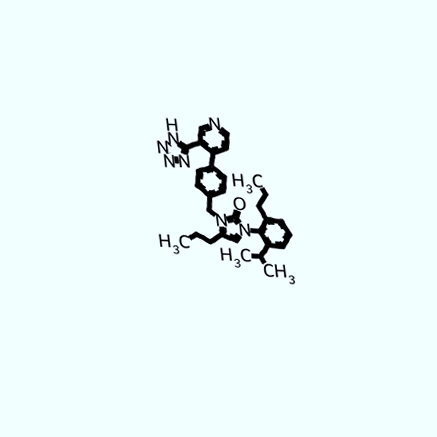 CCCc1cccc(C(C)C)c1-n1cc(CCC)n(Cc2ccc(-c3ccncc3-c3nnn[nH]3)cc2)c1=O